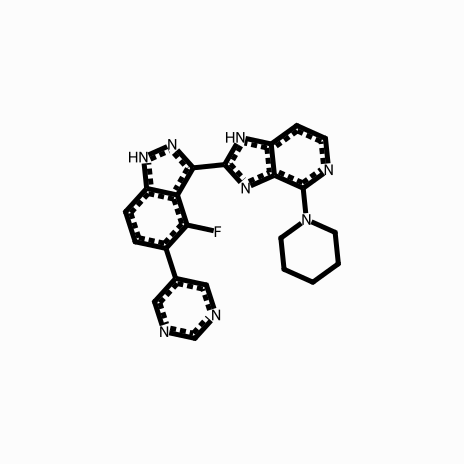 Fc1c(-c2cncnc2)ccc2[nH]nc(-c3nc4c(N5CCCCC5)nccc4[nH]3)c12